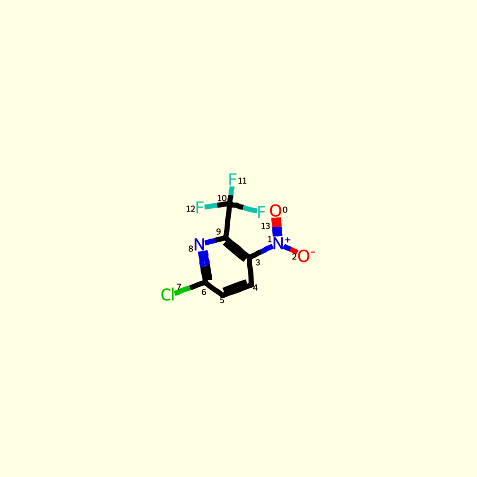 O=[N+]([O-])c1ccc(Cl)nc1C(F)(F)F